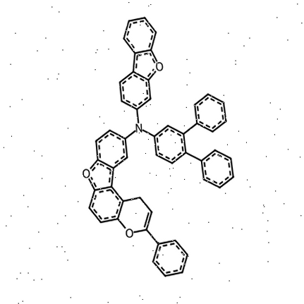 C1=C(c2ccccc2)Oc2ccc3oc4ccc(N(c5ccc(-c6ccccc6)c(-c6ccccc6)c5)c5ccc6c(c5)oc5ccccc56)cc4c3c2C1